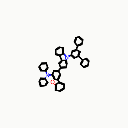 c1ccc(-c2cc(-c3ccccc3)cc(-n3c4ccccc4c4cc(-c5cc(N(c6ccccc6)c6ccccc6)c6oc7ccccc7c6c5)ccc43)c2)cc1